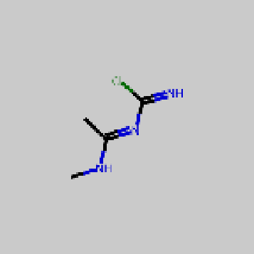 CN/C(C)=N/C(=N)Cl